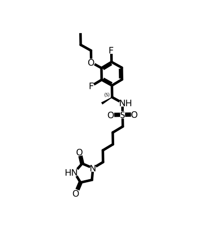 CCCOc1c(F)ccc([C@H](C)NS(=O)(=O)CCCCCN2CC(=O)NC2=O)c1F